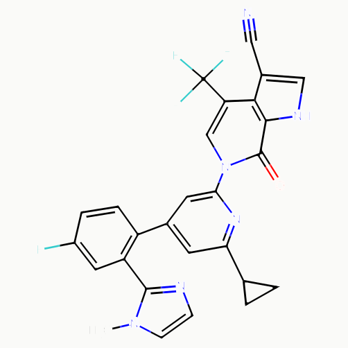 Cn1ccnc1-c1cc(F)ccc1-c1cc(C2CC2)nc(-n2cc(C(F)(F)F)c3c(C#N)c[nH]c3c2=O)c1